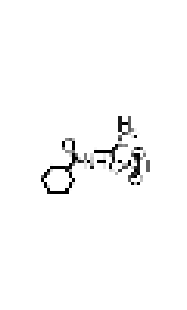 CC(CNC(=O)C1CCCCC1)O[SH](=O)=O